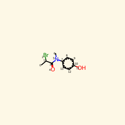 CC(Br)C(=O)N(C)c1ccc(O)cc1